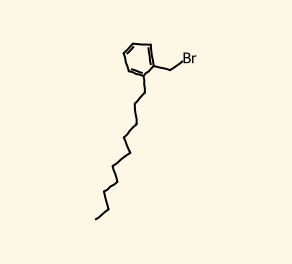 CCCCCCCCCCc1ccccc1CBr